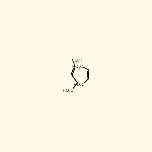 O=C(O)/C=C/CC(=O)O.O=C(O)/C=C\C(=O)O